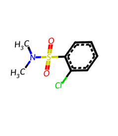 CN(C)S(=O)(=O)c1ccccc1Cl